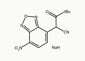 CC(C)(C)C(=O)C(C#N)c1ccc([N+](=O)[O-])c2nonc12.[NaH]